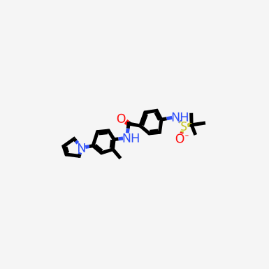 Cc1cc(N2CC=CC2)ccc1NC(=O)c1ccc(N[S+]([O-])C(C)(C)C)cc1